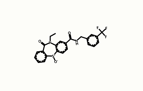 CCN1C(=O)c2ccccc2[S+]([O-])c2ccc(C(=O)NCc3cccc(C(F)(F)F)c3)cc21